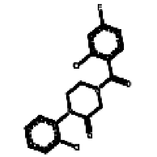 O=C(c1ccc(F)cc1Cl)N1CCN(c2ccccc2Cl)C(=O)C1